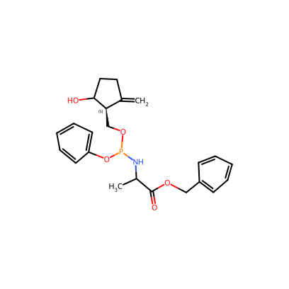 C=C1CCC(O)[C@@H]1COP(NC(C)C(=O)OCc1ccccc1)Oc1ccccc1